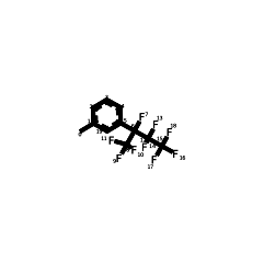 Cc1[c]ccc(C(F)(C(F)(F)F)C(F)(F)C(F)(F)F)c1